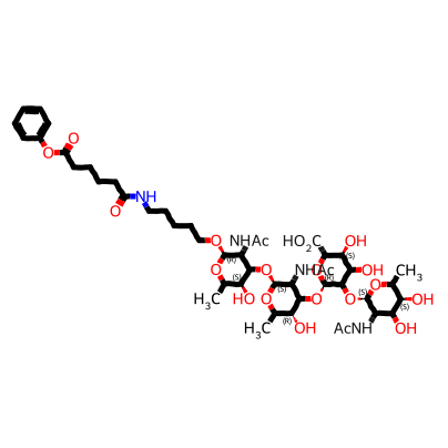 CC(=O)NC1C(O)[C@H](O)C(C)O[C@H]1OC1C(O)[C@H](O)C(C(=O)O)O[C@H]1OC1C(NC(C)=O)[C@H](OC2C(NC(C)=O)[C@H](OCCCCCNC(=O)CCCCC(=O)Oc3ccccc3)OC(C)[C@@H]2O)OC(C)[C@H]1O